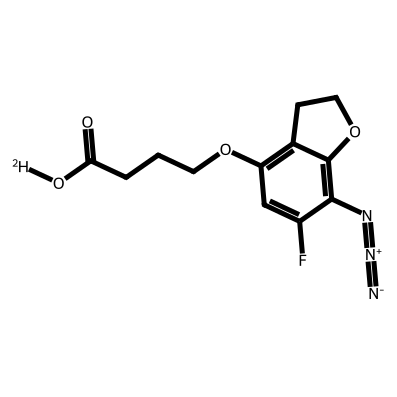 [2H]OC(=O)CCCOc1cc(F)c(N=[N+]=[N-])c2c1CCO2